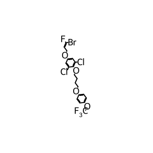 F/C(Br)=C/COc1cc(Cl)c(OCCCCOc2ccc(OC(F)(F)F)cc2)c(Cl)c1